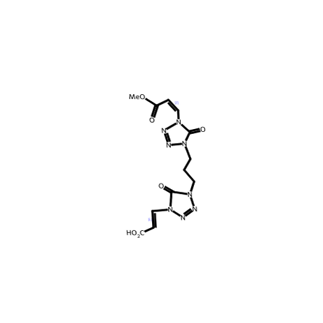 COC(=O)/C=C\n1nnn(CCCn2nnn(/C=C/C(=O)O)c2=O)c1=O